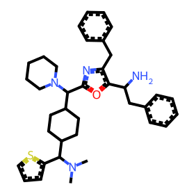 CN(C)C(c1cccs1)C1CCC(C(c2nc(Cc3ccccc3)c(C(N)Cc3ccccc3)o2)N2CCCCC2)CC1